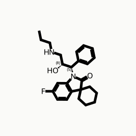 CCCNC[C@@H](O)[C@H](c1ccccc1)N1C(=O)C2(CCCCC2)c2ccc(F)cc21